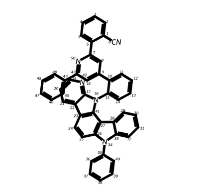 N#Cc1ccccc1-c1cc(-c2ccccc2-n2c3ncccc3c3ccc4c(c5ccccc5n4-c4ccccc4)c32)cc(-c2ccccc2)n1